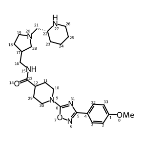 COc1ccc(-c2noc(N3CCC(C(=O)NCC4CCN(C[C@H]5CCCCN5)C4)CC3)n2)cc1